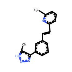 N#Cc1[nH]nnc1-c1cccc(C=Cc2cccc(C(F)(F)F)n2)c1